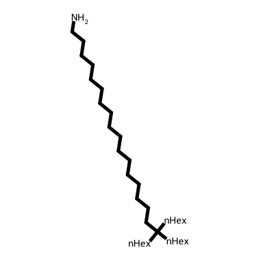 CCCCCCC(CCCCCC)(CCCCCC)CCCCCCCCCCCCCCCCCN